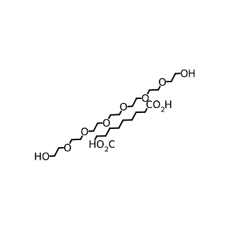 O=C(O)CCCCCCCCC(=O)O.OCCOCCOCCOCCOCCOCCOCCO